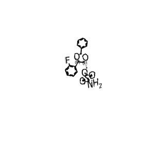 NS(=O)(=O)OC[C@H]1OC(c2ccccc2)O[C@@H]1c1ccccc1F